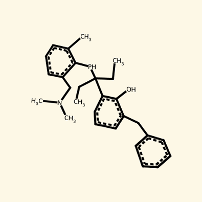 CCC(CC)(Pc1c(C)cccc1CN(C)C)c1cccc(Cc2ccccc2)c1O